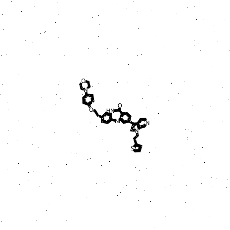 O=C1Nc2cc(CCOc3ccc(N4CCOCC4)cc3)ccc2Nc2cc(-c3cn(CCc4cccs4)c4cnccc34)ccc21